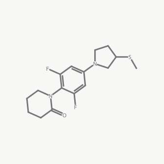 CSC1CCN(c2cc(F)c(N3CCCCC3=O)c(F)c2)C1